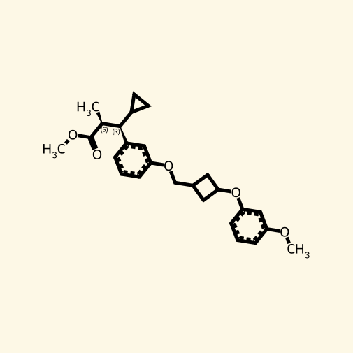 COC(=O)[C@@H](C)[C@H](c1cccc(OCC2CC(Oc3cccc(OC)c3)C2)c1)C1CC1